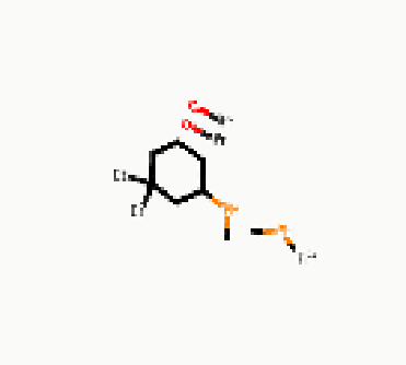 CC(C)[O-].CC(C)[O-].CCC1(CC)CCCC(PC)C1.C[PH][Ti+2]